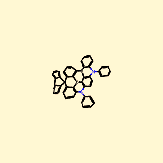 c1ccc(N2c3ccccc3B3c4cccc5c4B4c6c(cccc6C56c5ccccc5-c5ccccc56)N(c5ccccc5)c5ccc2c3c54)cc1